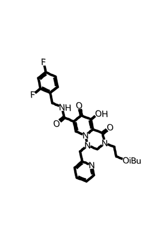 CC(C)COCCN1CN(Cc2ccccn2)n2cc(C(=O)NCc3ccc(F)cc3F)c(=O)c(O)c2C1=O